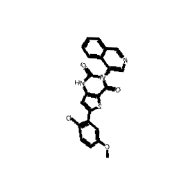 COc1ccc(Cl)c(-c2cc3[nH]c(=O)n(-c4cncc5ccccc45)c(=O)c3s2)c1